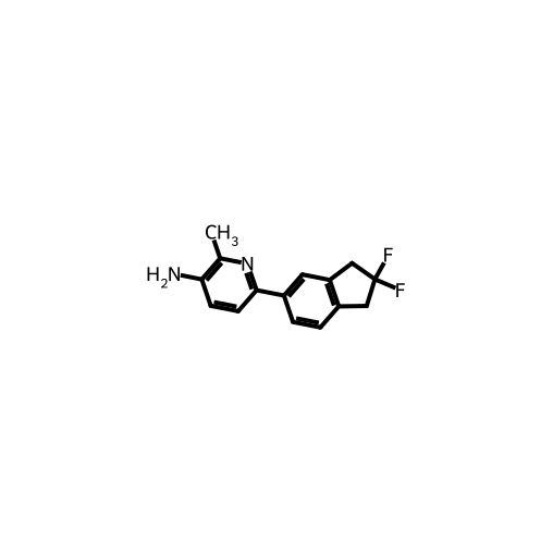 Cc1nc(-c2ccc3c(c2)CC(F)(F)C3)ccc1N